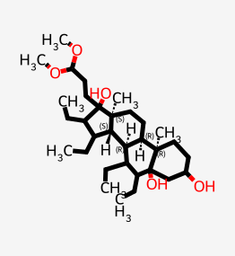 CCC1C(CC)C2(O)CC(O)CC[C@]2(C)[C@@H]2CC[C@@]3(C)[C@@H](C(CC)C(CC)C3(O)CCC(OC)OC)[C@H]12